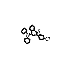 Clc1ccc2c(c1)sc1c3ccccc3c(N(c3ccccc3)c3ccccc3)cc21